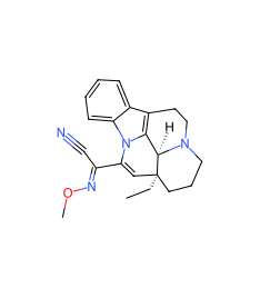 CC[C@@]12C=C(/C(C#N)=N/OC)n3c4c(c5ccccc53)CCN(CCC1)[C@H]42